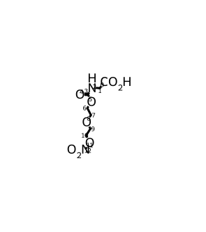 O=C(O)CNC(=O)OCCOCCO[N+](=O)[O-]